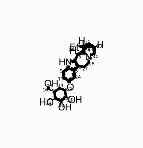 CC[C@H]1C[C@H]2C[C@H]3c4[nH]c5ccc(O[C@H]6C[C@H](CO)[C@@H](O)[C@H](O)[C@H]6O)cc5c4CCN(C2)C13